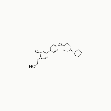 O=c1cc(-c2ccc(OC3CCN(C4CCCC4)CC3)cc2)ccn1CCO